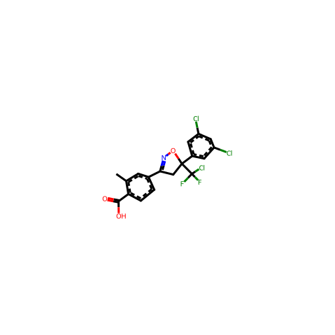 Cc1cc(C2=NOC(c3cc(Cl)cc(Cl)c3)(C(F)(F)Cl)C2)ccc1C(=O)O